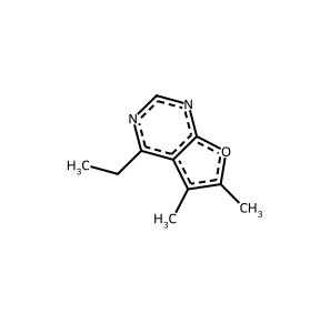 CCc1ncnc2oc(C)c(C)c12